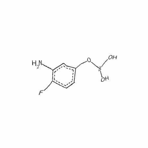 Nc1cc(OB(O)O)ccc1F